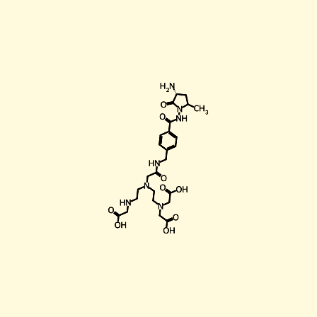 CC1C[C@@H](N)C(=O)N1NC(=O)c1ccc(CNC(=O)CN(CCNCC(=O)O)CCN(CC(=O)O)CC(=O)O)cc1